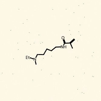 C=C(C)C(=O)NCCCCCN(C)CC